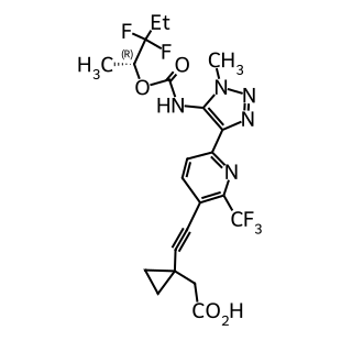 CCC(F)(F)[C@@H](C)OC(=O)Nc1c(-c2ccc(C#CC3(CC(=O)O)CC3)c(C(F)(F)F)n2)nnn1C